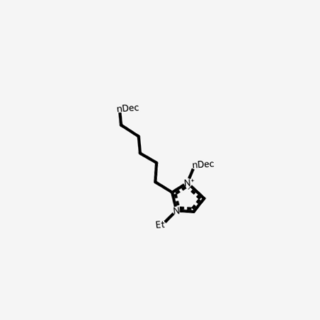 CCCCCCCCCCCCCCCc1n(CC)cc[n+]1CCCCCCCCCC